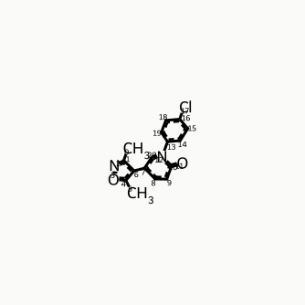 Cc1noc(C)c1-c1ccc(=O)n(-c2ccc(Cl)cc2)c1